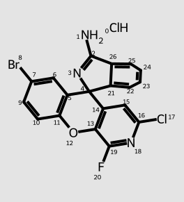 Cl.NC1=NC2(c3cc(Br)ccc3Oc3c2cc(Cl)nc3F)c2ccccc21